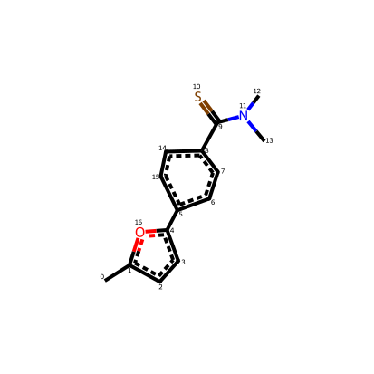 Cc1ccc(-c2ccc(C(=S)N(C)C)cc2)o1